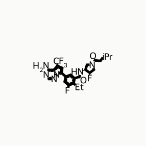 CCc1c(F)cc(-c2cc(C(F)(F)F)c3c(N)ncnn23)cc1C(=O)N[C@@H]1CN(C(=O)CC(C)C)C[C@@H]1F